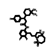 CC1(C)CC(C(CC(=O)Nc2ccc(F)c(F)c2CCC2CN[C@@H]3CCCS(=O)(=O)N2C3)c2ccc(F)cc2)CCO1